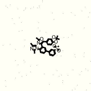 Cc1cn(-c2ccc(-c3cccc(S(C)(=O)=O)c3)cc2-c2nc(C)oc2-c2ccc3c(c2)OC(C)(C)O3)c(C)n1